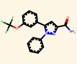 NC(=O)c1cc(-c2cccc(OC(F)(F)F)c2)n(-c2ccccc2)n1